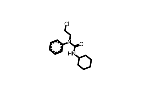 O=C(NC1CCCCC1)N(CCCl)c1ccccc1